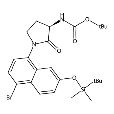 CC(C)(C)OC(=O)N[C@@H]1CCN(c2ccc(Br)c3ccc(O[Si](C)(C)C(C)(C)C)cc23)C1=O